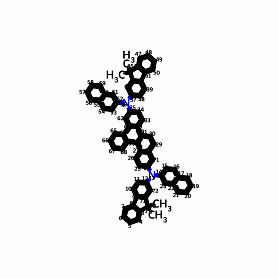 CC1(C)c2ccccc2-c2ccc(N(c3ccc4ccccc4c3)c3ccc4c(ccc5c6ccc(N(c7ccc8c(c7)C(C)(C)c7ccccc7-8)c7ccc8ccccc8c7)cc6c6ccccc6c45)c3)cc21